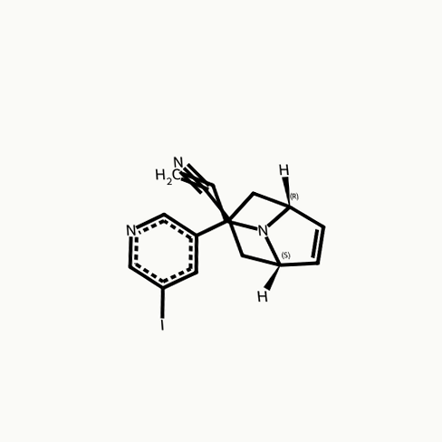 C=CCN1[C@@H]2C=C[C@H]1CC(C#N)(c1cncc(I)c1)C2